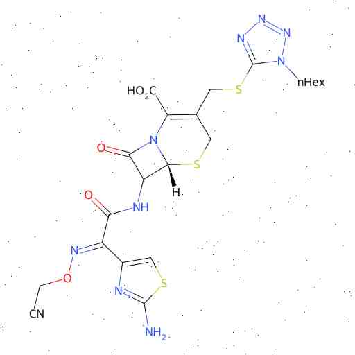 CCCCCCn1nnnc1SCC1=C(C(=O)O)N2C(=O)C(NC(=O)/C(=N/OCC#N)c3csc(N)n3)[C@H]2SC1